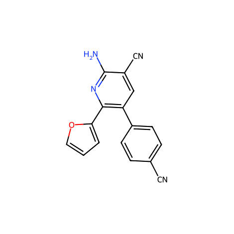 N#Cc1ccc(-c2cc(C#N)c(N)nc2-c2ccco2)cc1